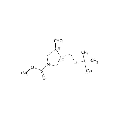 CC(C)(C)OC(=O)N1C[C@@H](CO[Si](C)(C)C(C)(C)C)[C@H](C=O)C1